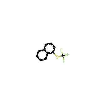 FC(F)(F)Sc1cc[c]c2ccccc12